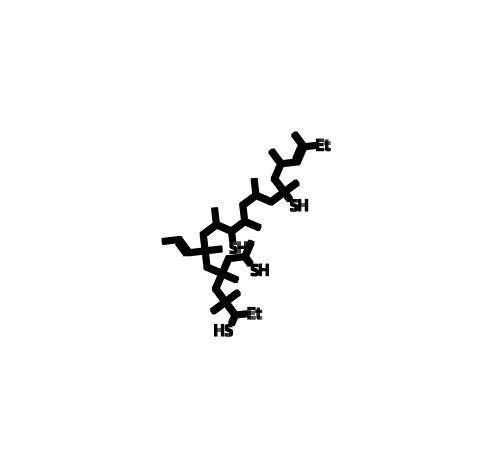 C/C=C/C(C)(CC(C)C(S)C(C)CC(C)CC(C)(S)CC(C)/C=C(\C)CC)CC(C)(CC(C)S)CC(C)(C)C(S)CC